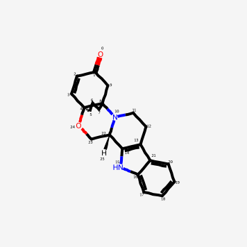 O=C1C=C[C@@]23CCCC2(C1)N1CCc2c([nH]c4ccccc24)[C@@H]1CO3